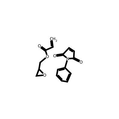 C=CC(=O)OCC1CO1.O=C1C=CC(=O)N1c1ccccc1